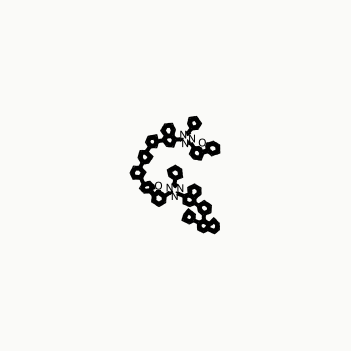 c1ccc(-c2nc(-c3ccc(-c4cccc(-c5ccc(-c6cccc(-c7ccc8c(c7)oc7c(-c9nc(-c%10ccccc%10)nc(-c%10ccc(-c%11cccc(-c%12c(-c%13ccccc%13)ccc%13ccccc%12%13)c%11)c%11ccccc%10%11)n9)cccc78)c6)cc5)c4)c4ccccc34)nc(-c3cccc4c3oc3ccccc34)n2)cc1